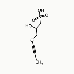 CC#COCC(O)CS(=O)(=O)O